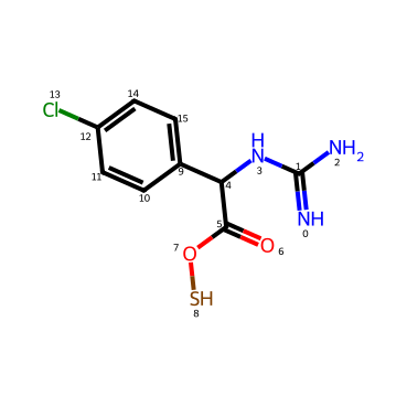 N=C(N)NC(C(=O)OS)c1ccc(Cl)cc1